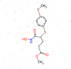 COC(=O)CCC(Sc1ccc(SC)cc1)C(=O)NO